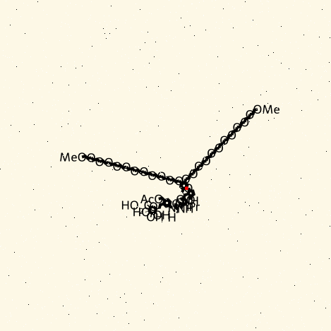 COCCOCCOCCOCCOCCOCCOCCOCCOCCOCCOCCOc1ccc(C[C@@H](C(=O)N[C@H](C(=O)N[C@@H](C)C(=O)Nc2ccc(COC(C)=O)c(CC[C@@H]3O[C@H](C(=O)O)[C@@H](O)[C@H](O)[C@H]3O)c2)C(C)C)C2C(=O)C=CC2=O)cc1OCCOCCOCCOCCOCCOCCOCCOCCOCCOCCOCCOC